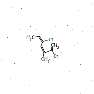 C=C(CC)/C(C)=C\C(Cl)=C/C